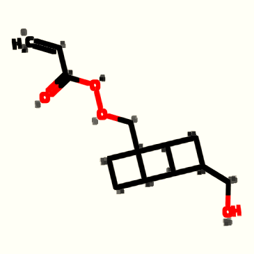 C=CC(=O)OOCC12C3C4C1C1C2C3C41CO